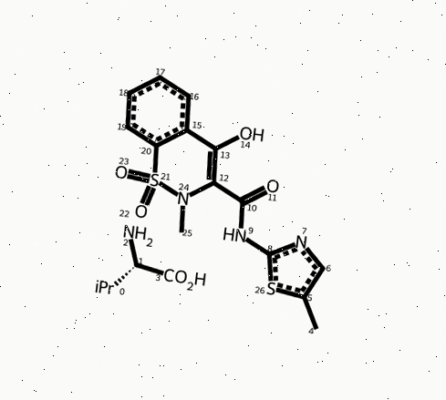 CC(C)[C@H](N)C(=O)O.Cc1cnc(NC(=O)C2=C(O)c3ccccc3S(=O)(=O)N2C)s1